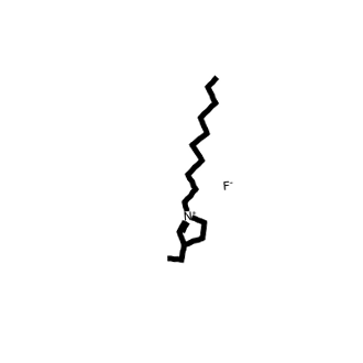 CCCCCCCCCC[N+]1=CC(CC)CC1.[F-]